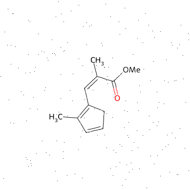 COC(=O)C(C)=CC1=C(C)C=CC1